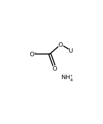 O=C([O-])[O][U].[NH4+]